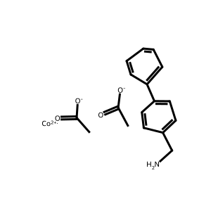 CC(=O)[O-].CC(=O)[O-].NCc1ccc(-c2ccccc2)cc1.[Co+2]